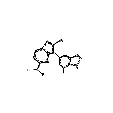 Cc1cc(-n2c(C(C)C)nc3ccc(C(F)F)nc32)cc2cn[nH]c12